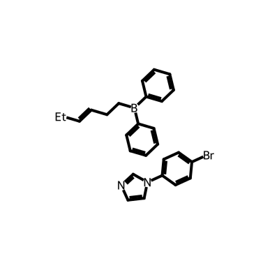 Brc1ccc(-n2ccnc2)cc1.CCC=CCCB(c1ccccc1)c1ccccc1